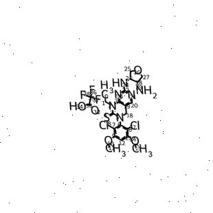 CCN1C(=S)N(c2c(Cl)c(OC)cc(OC)c2Cl)Cc2cnc(N[C@@H]3COC[C@@H]3N)nc21.O=C(O)C(F)(F)F